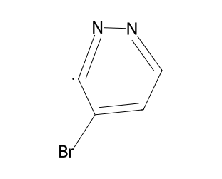 Brc1[c]nncc1